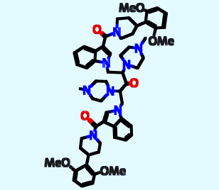 COc1cccc(OC)c1C1CCN(C(=O)c2cn(CC(C(=O)C(Cn3cc(C(=O)N4CCC(c5c(OC)cccc5OC)CC4)c4ccccc43)N3CCN(C)CC3)N3CCN(C)CC3)c3ccccc23)CC1